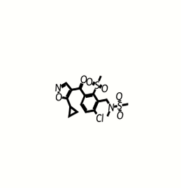 CN(Cc1c(Cl)ccc(C(=O)c2cnoc2C2CC2)c1S(C)(=O)=O)S(C)(=O)=O